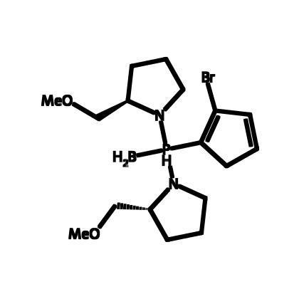 B[PH](C1=C(Br)C=CC1)(N1CCC[C@@H]1COC)N1CCC[C@@H]1COC